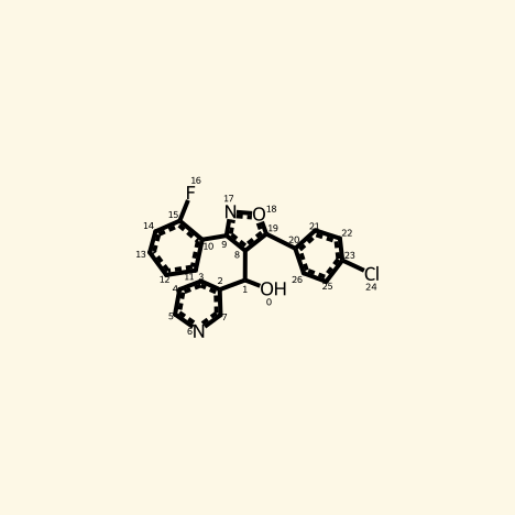 OC(c1cccnc1)c1c(-c2ccccc2F)noc1-c1ccc(Cl)cc1